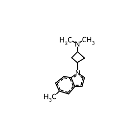 Cc1ccc2c(ccn2C2CC(N(C)C)C2)c1